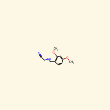 COc1ccc(CNCC#N)c(OC)c1